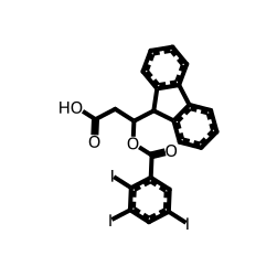 O=C(O)CC(OC(=O)c1cc(I)cc(I)c1I)C1c2ccccc2-c2ccccc21